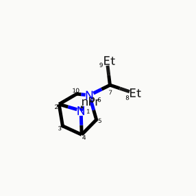 CCCN1C2CC1CN(C(CC)CC)C2